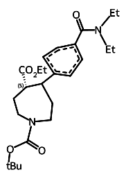 CCOC(=O)[C@H]1CCN(C(=O)OC(C)(C)C)CCC1c1ccc(C(=O)N(CC)CC)cc1